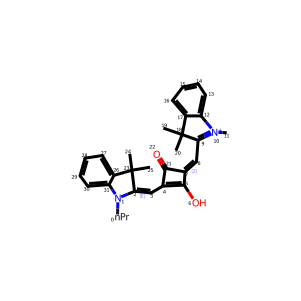 CCCN1/C(=C/C2=C(O)C(=C/C3=[N+](C)c4ccccc4C3(C)C)/C2=O)C(C)(C)c2ccccc21